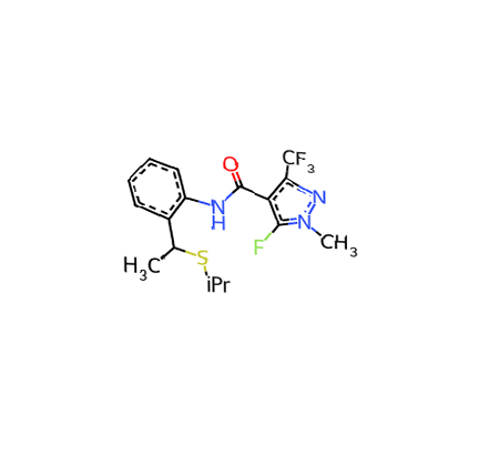 CC(C)SC(C)c1ccccc1NC(=O)c1c(C(F)(F)F)nn(C)c1F